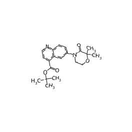 CC(C)(C)OC(=O)c1ccnc2ccc(N3CCOC(C)(C)C3=O)cc12